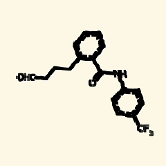 O=[C]CCCc1ccccc1C(=O)Nc1ccc(C(F)(F)F)cc1